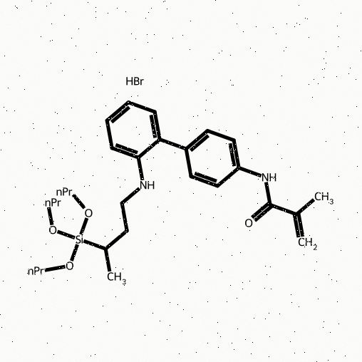 Br.C=C(C)C(=O)Nc1ccc(-c2ccccc2NCCC(C)[Si](OCCC)(OCCC)OCCC)cc1